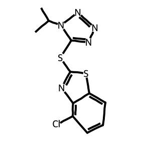 CC(C)n1nnnc1Sc1nc2c(Cl)cccc2s1